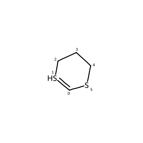 C1=[SH]CCCS1